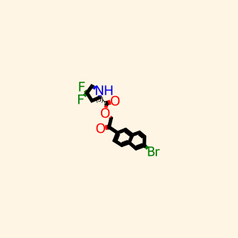 O=C(COC(=O)[C@@H]1CC(F)(F)CN1)c1ccc2cc(Br)ccc2c1